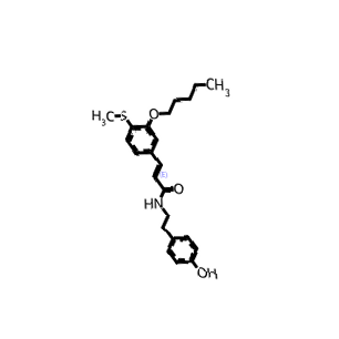 CCCCCOc1cc(/C=C/C(=O)NCCc2ccc(O)cc2)ccc1SC